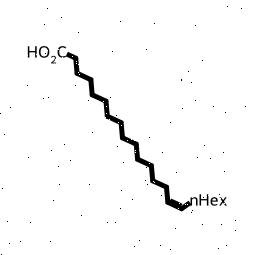 CCCCCC/C=C\CCCCCCCCCCCCCC(=O)O